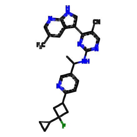 CC(Nc1ncc(C#N)c(-c2c[nH]c3ncc(C(F)(F)F)cc23)n1)c1ccc(C2CC(F)(C3CC3)C2)nc1